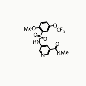 CNC(=O)c1cncc(NS(=O)(=O)c2cc(OC(F)(F)F)ccc2OC)c1